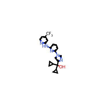 OC(c1cn(-c2cccc(Nc3cc(C(F)(F)F)ccn3)n2)cn1)(C1CC1)C1CC1